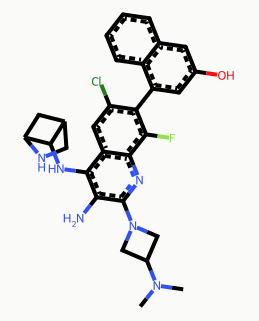 CN(C)C1CN(c2nc3c(F)c(-c4cc(O)cc5ccccc45)c(Cl)cc3c(NC3C4CNC3C4)c2N)C1